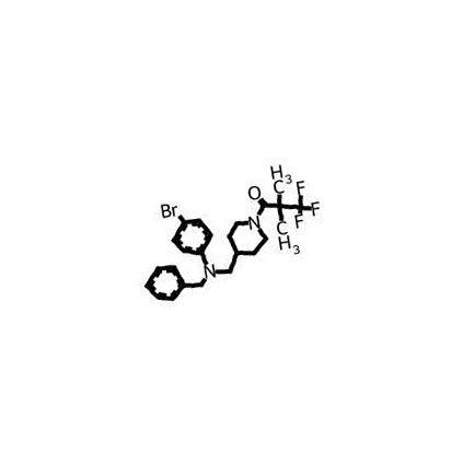 CC(C)(C(=O)N1CCC(CN(Cc2ccccc2)c2ccc(Br)cc2)CC1)C(F)(F)F